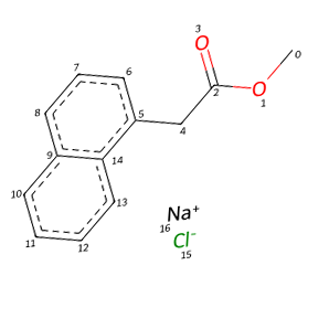 COC(=O)Cc1cccc2ccccc12.[Cl-].[Na+]